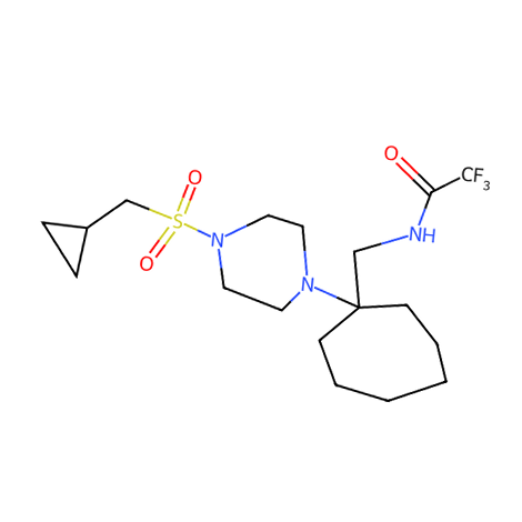 O=C(NCC1(N2CCN(S(=O)(=O)CC3CC3)CC2)CCCCCC1)C(F)(F)F